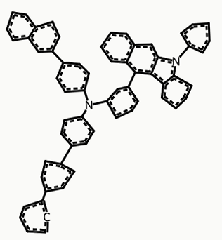 c1ccc(-c2ccc(-c3ccc(N(c4ccc(-c5ccc6ccccc6c5)cc4)c4cccc(-c5c6ccccc6cc6c5c5ccccc5n6-c5ccccc5)c4)cc3)cc2)cc1